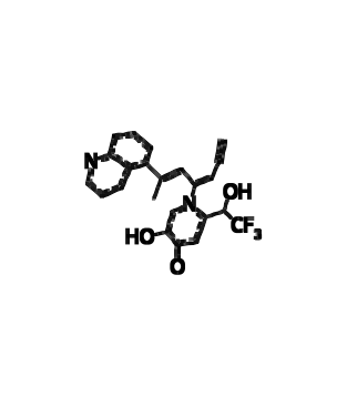 C#C/C=C(\C=C(/C)c1cccc2ncccc12)n1cc(O)c(=O)cc1C(O)C(F)(F)F